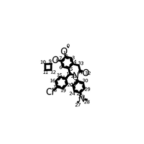 COc1cc2c(cc1OC1CCC1)C(c1ccc(Cl)cc1)N(c1ccc(N(C)C)cc1)C(=O)C2